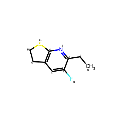 CCc1nc2c(cc1F)CCS2